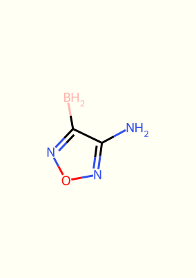 Bc1nonc1N